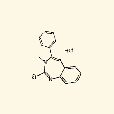 CCC1=Nc2ccccc2C=C(c2ccccc2)N1C.Cl